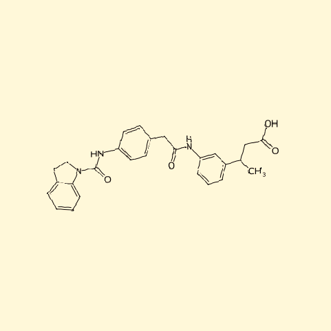 CC(CC(=O)O)c1cccc(NC(=O)Cc2ccc(NC(=O)N3CCc4ccccc43)cc2)c1